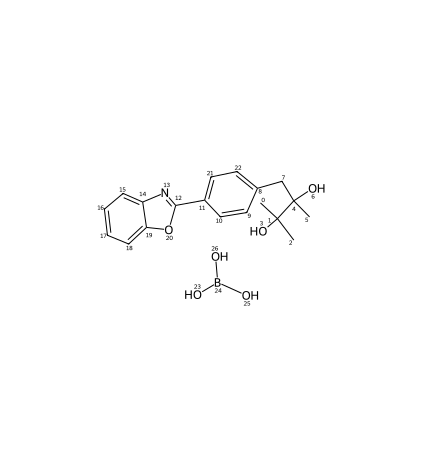 CC(C)(O)C(C)(O)Cc1ccc(-c2nc3ccccc3o2)cc1.OB(O)O